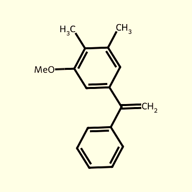 C=C(c1ccccc1)c1cc(C)c(C)c(OC)c1